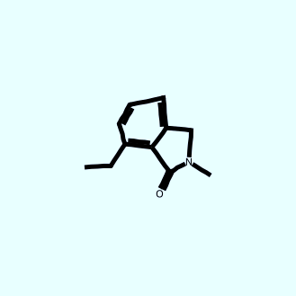 CCc1cccc2c1C(=O)N(C)C2